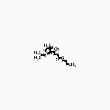 CCCCOC(=O)CCC(=O)C1=CN(CC(C)C)CCC1(C)C